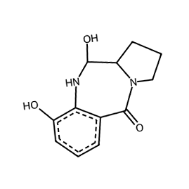 O=C1c2cccc(O)c2NC(O)C2CCCN12